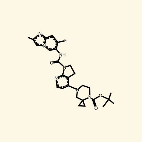 Cc1cn2cc(NC(=O)N3CCc4c(N5CCN(C(=O)OC(C)(C)C)C6(CC6)C5)ccnc43)c(F)cc2n1